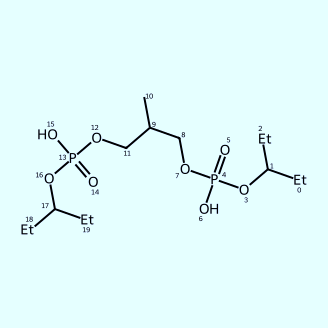 CCC(CC)OP(=O)(O)OCC(C)COP(=O)(O)OC(CC)CC